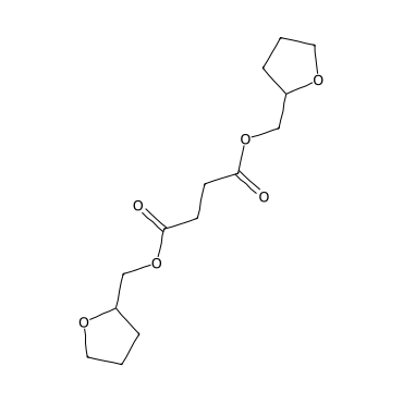 O=C(CCC(=O)OCC1CCCO1)OCC1CCCO1